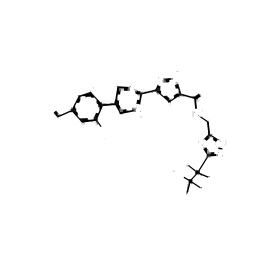 CC(C)(c1n[nH]c(CNC(=O)c2cc(-c3ncc(-c4ccc(C=O)cc4F)cn3)no2)n1)C(F)(F)F